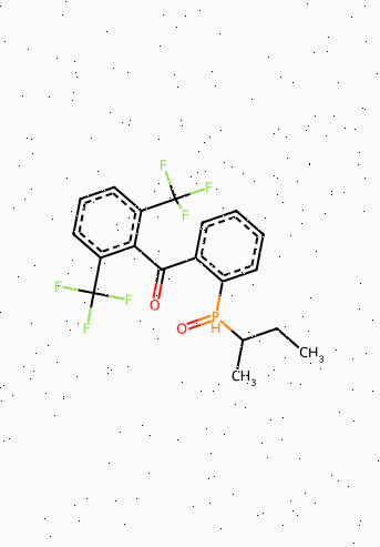 CCC(C)[PH](=O)c1ccccc1C(=O)c1c(C(F)(F)F)cccc1C(F)(F)F